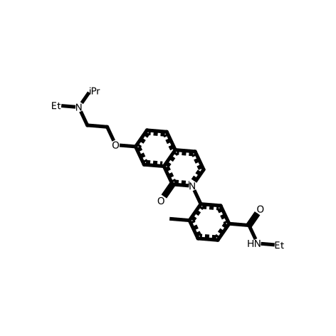 CCNC(=O)c1ccc(C)c(-n2ccc3ccc(OCCN(CC)C(C)C)cc3c2=O)c1